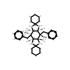 O[C@@]1(Cc2ccccc2)[C@@H]2OC3(CCCCC3)O[C@H]2[C@@](O)(Cc2ccccc2)[C@H]2OC3(CCCCC3)O[C@H]21